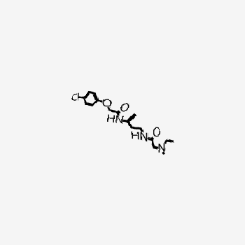 C=C(CCNC(=O)CN(C)CC)NC(=O)COc1ccc(Cl)cc1